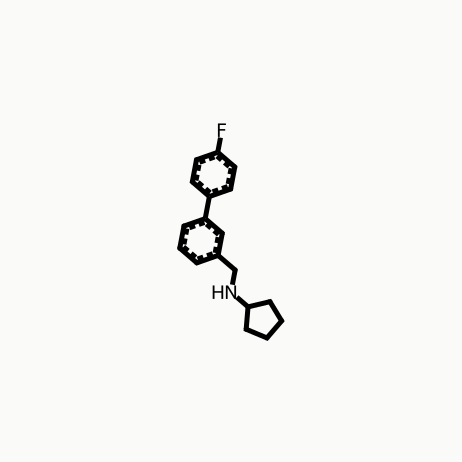 Fc1ccc(-c2cccc(CNC3CCCC3)c2)cc1